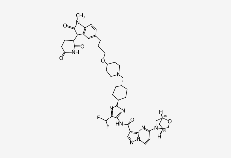 CN1C(=O)C(C2CCC(=O)NC2=O)c2cc(CCCOC3CCN(C[C@H]4CC[C@H](C5N=C(NC(=O)c6cnn7ccc(N8C[C@H]9C[C@@H]8CO9)nc67)C(C(F)F)=N5)CC4)CC3)ccc21